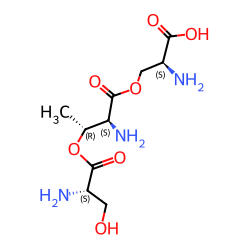 C[C@@H](OC(=O)[C@@H](N)CO)[C@H](N)C(=O)OC[C@H](N)C(=O)O